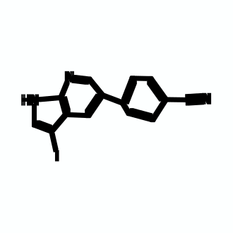 N#Cc1ccc(-c2cnc3[nH]cc(I)c3c2)cc1